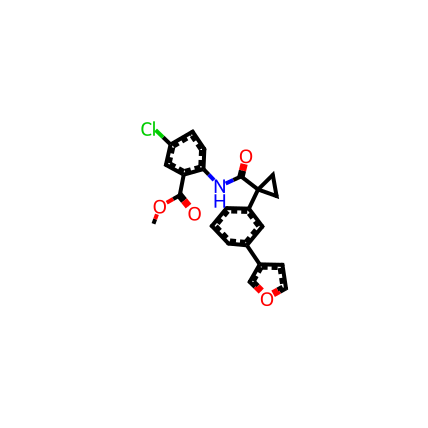 COC(=O)c1cc(Cl)ccc1NC(=O)C1(c2cccc(-c3ccoc3)c2)CC1